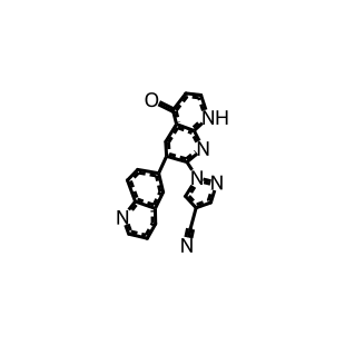 N#Cc1cnn(-c2nc3[nH]ccc(=O)c3cc2-c2ccc3ncccc3c2)c1